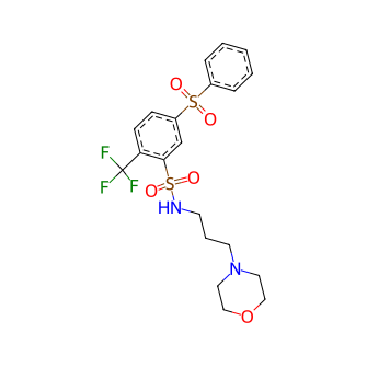 O=S(=O)(NCCCN1CCOCC1)c1cc(S(=O)(=O)c2ccccc2)ccc1C(F)(F)F